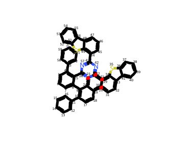 c1ccc(-c2cccc(-c3c(-c4ccccc4)ccc4ccccc34)c2-c2nc(-c3cccc4c3sc3ccccc34)nc(-c3cccc4c3sc3ccccc34)n2)cc1